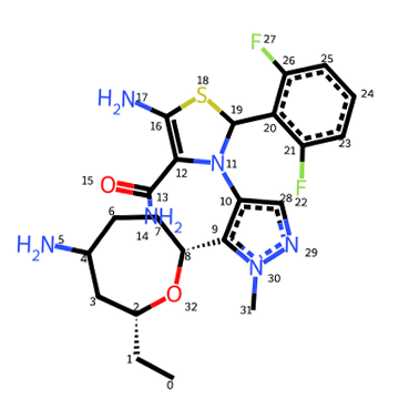 CC[C@@H]1CC(N)CC[C@H](c2c(N3C(C(N)=O)=C(N)SC3c3c(F)cccc3F)cnn2C)O1